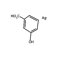 O=C(O)c1cccc(O)c1.[Ag]